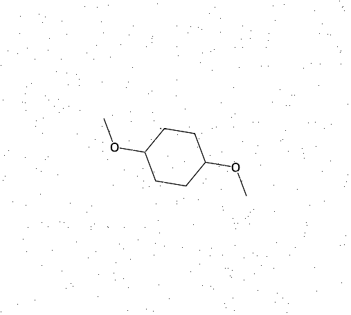 COC1[CH]CC(OC)CC1